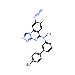 CN(c1cccc(-c2ccc(C(C)(C)C)cc2)c1)c1nc2nncn2c2cc(N=[N+]=[N-])c(F)cc12